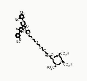 CCOc1cccc(-c2ncc(C3(C(=O)N[C@@H]4CCN(CCOCCOCCOCCOCCNC(=O)CN5CCN(CC(=O)O)CCN(CC(=O)O)CCN(CC(=O)O)CC5)C4)CCN(c4ccc(C(F)(F)F)cc4C#N)CC3)cc2F)c1